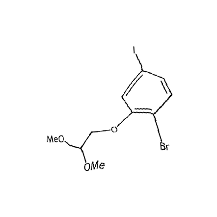 COC(COc1cc(I)ccc1Br)OC